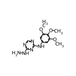 COc1cc(Nc2ncnc(NN)n2)cc(OC)c1OC